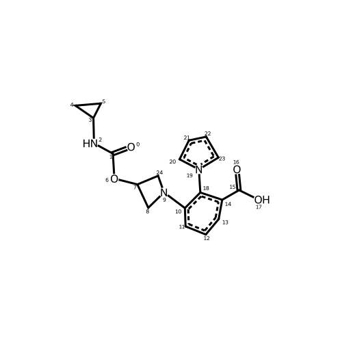 O=C(NC1CC1)OC1CN(c2cccc(C(=O)O)c2-n2cccc2)C1